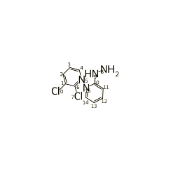 Clc1cccnc1Cl.NNc1ccccn1